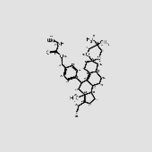 CC1(C)COC2(CCC3=C4C(c5ccc(COC(=O)NC(C)(C)C)cc5)CC5(C)C(CF)CCC5C4CCC3C2)OC1